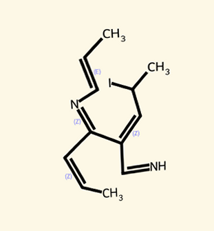 C\C=C/C(=N/C=C/C)C(/C=N)=C\C(C)I